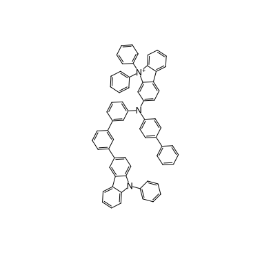 c1ccc(-c2ccc(N(c3cccc(-c4cccc(-c5ccc6c(c5)c5ccccc5n6-c5ccccc5)c4)c3)c3ccc4c(c3)[N+](c3ccccc3)(c3ccccc3)c3ccccc3-4)cc2)cc1